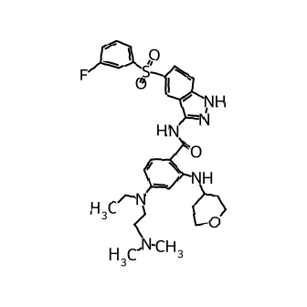 CCN(CCN(C)C)c1ccc(C(=O)Nc2n[nH]c3ccc(S(=O)(=O)c4cccc(F)c4)cc23)c(NC2CCOCC2)c1